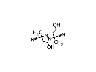 CC(C#N)(CCO)N=NC(C)(C#N)CCO